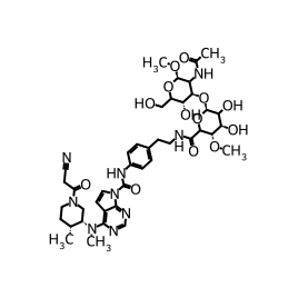 CO[C@@H]1OC(CO)[C@@H](O)[C@H](O[C@@H]2OC(C(=O)NCCc3ccc(NC(=O)n4ccc5c(N(C)[C@H]6CN(C(=O)CC#N)CC[C@H]6C)ncnc54)cc3)[C@@H](OC)[C@H](O)C2O)C1NC(C)=O